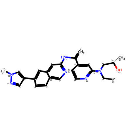 C=C(Nc1cc2cc(-c3cnn(C)c3)ccc2cn1)c1ccnc(N(CC(C)C)C[C@H](C)O)c1